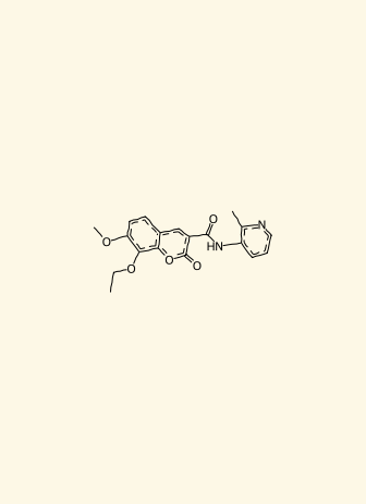 CCOc1c(OC)ccc2cc(C(=O)Nc3cccnc3C)c(=O)oc12